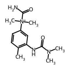 Cc1ccc([N+](C)(C)C(N)=O)cc1NC(=O)N(C)C